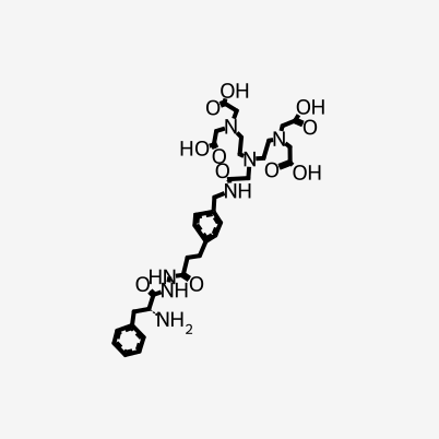 N[C@H](Cc1ccccc1)C(=O)NNC(=O)CCc1ccc(CNC(=O)CN(CCN(CC(=O)O)CC(=O)O)CCN(CC(=O)O)CC(=O)O)cc1